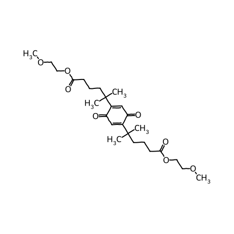 COCCOC(=O)CCCC(C)(C)C1=CC(=O)C(C(C)(C)CCCC(=O)OCCOC)=CC1=O